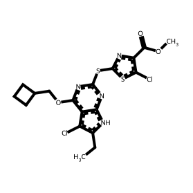 CCc1[nH]c2nc(Sc3nc(C(=O)OC)c(Cl)s3)nc(OCC3CCC3)c2c1Cl